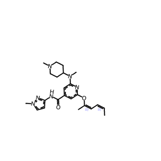 C/C=C\C=C(\C)Oc1cc(C(=O)Nc2ccn(C)n2)cc(N(C)C2CCN(C)CC2)n1